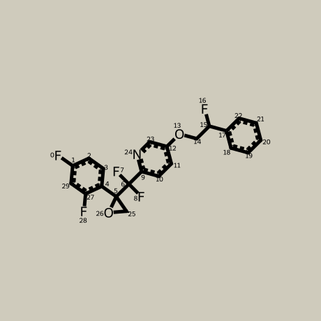 Fc1ccc(C2(C(F)(F)c3ccc(OCC(F)c4ccccc4)cn3)CO2)c(F)c1